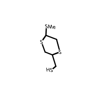 CSC1CSC(CS)CS1